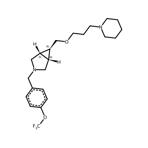 FC(F)(F)Oc1ccc(CN2C[C@@H]3[C@@H](COCCCN4CCCCC4)[C@@H]3C2)cc1